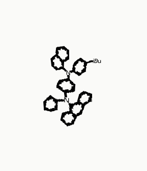 CCC(C)c1ccc(N(c2ccc(N(c3ccccc3)c3c4ccccc4cc4ccccc34)cc2)c2cccc3ccccc23)cc1